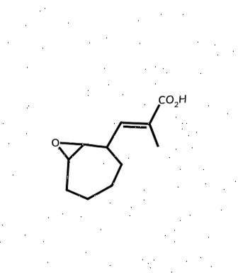 CC(=CC1CCCCC2OC12)C(=O)O